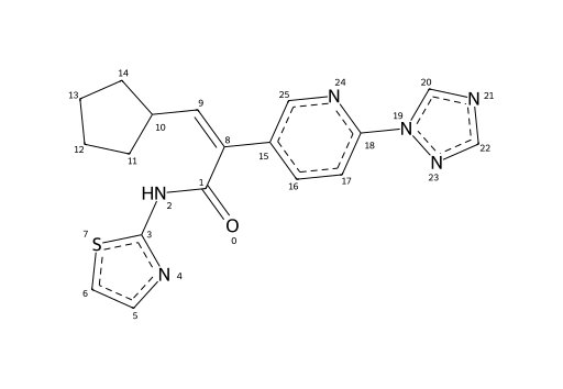 O=C(Nc1nccs1)C(=CC1CCCC1)c1ccc(-n2cncn2)nc1